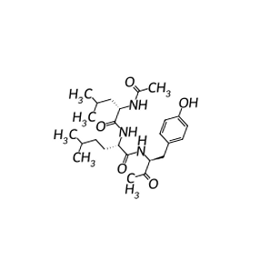 CC(=O)N[C@@H](CC(C)C)C(=O)N[C@@H](CCC(C)C)C(=O)N[C@@H](Cc1ccc(O)cc1)C(C)=O